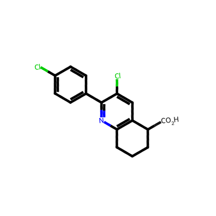 O=C(O)C1CCCc2nc(-c3ccc(Cl)cc3)c(Cl)cc21